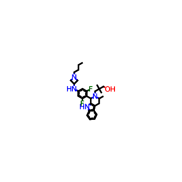 CCCCN1CC(Nc2cc(F)c(C3c4[nH]c5ccccc5c4CC(C)N3CC(C)(C)CO)c(F)c2)C1